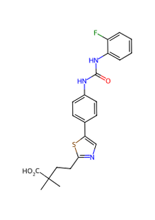 CC(C)(CCc1ncc(-c2ccc(NC(=O)Nc3ccccc3F)cc2)s1)C(=O)O